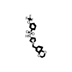 O=S(=O)(N[C@@H]1CCN(Cc2ccc3c(c2)OCCO3)C1)c1cccc(OC(F)(F)F)c1